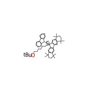 CC(C)(C)OCCCCCC[Si](C)(C1c2ccccc2-c2ccccc21)C1c2cc3c(cc2-c2cc4c(cc21)C(C)(C)CCC4(C)C)C(C)(C)CCC3(C)C